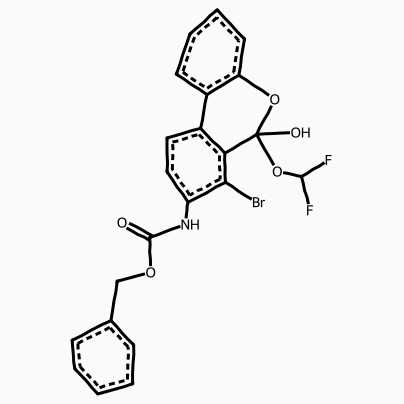 O=C(Nc1ccc2c(c1Br)C(O)(OC(F)F)Oc1ccccc1-2)OCc1ccccc1